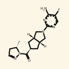 C[C@H]1CC=NN1C(=O)[C@H]1C[C@@H]2CN(c3ncc(F)c(N)n3)C[C@@H]2C1